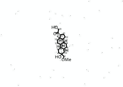 COC[C@]1(O)CC[C@H]2[C@@H](CC[C@@H]3[C@@H]2CC[C@]2(C)[C@@H](C(=O)CO)CC[C@@H]32)C1